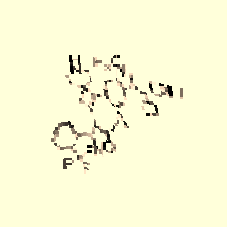 Cn1cc(C(=O)O)c2ccc(C3=C(c4c(-c5ccccc5C(F)(F)F)noc4C4CC4)CC34CCNCC4)cc21